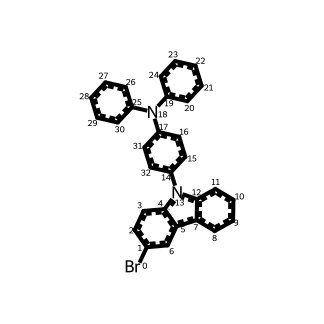 Brc1ccc2c(c1)c1ccccc1n2-c1ccc(N(c2ccccc2)c2ccccc2)cc1